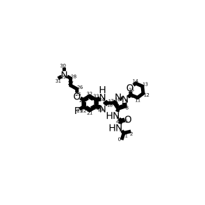 CC(C)NC(=O)Nc1cn(C2CCCCO2)nc1-c1nc2cc(F)c(OCCCN(C)C)cc2[nH]1